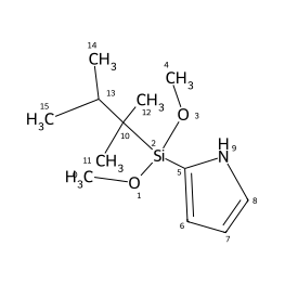 CO[Si](OC)(c1ccc[nH]1)C(C)(C)C(C)C